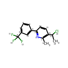 Cc1nc(-c2cccc(C(F)(F)F)c2)ccc1C(C)Cl